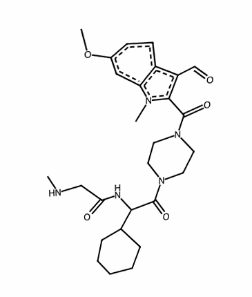 CNCC(=O)NC(C(=O)N1CCN(C(=O)c2c(C=O)c3ccc(OC)cc3n2C)CC1)C1CCCCC1